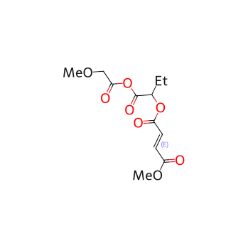 CCC(OC(=O)/C=C/C(=O)OC)C(=O)OC(=O)COC